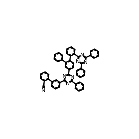 N#Cc1ccccc1-c1cccc(-c2nc(-c3ccccc3)nc(-c3ccc(-c4ccccc4-c4nc(-c5ccccc5)nc(-c5ccccc5)n4)c(-c4ccccc4)c3)n2)c1